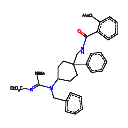 CCOC(=O)N=C(NC)N(Cc1ccccc1)C1CCC(CNC(=O)c2ccccc2OC)(c2ccccc2)CC1